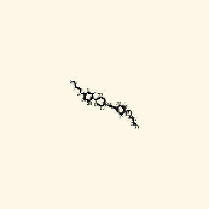 CCCCCc1ccc([C@H]2CC[C@H](C#Cc3ccc(OCCCC)cc3)CC2)cc1